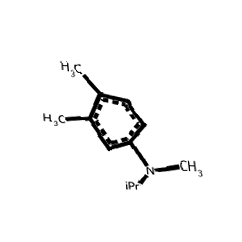 Cc1ccc(N(C)C(C)C)cc1C